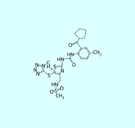 Cc1ccc(NC(=O)Nc2nc(CNS(C)(=O)=O)c(Sc3nnnn3C)s2)c(C(=O)C2CCCC2)c1